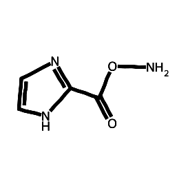 NOC(=O)c1ncc[nH]1